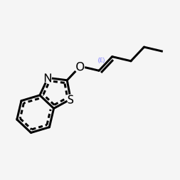 CCC/C=C/Oc1nc2ccccc2s1